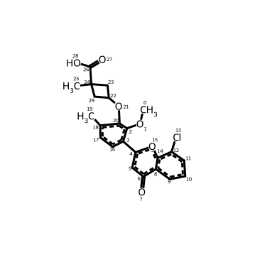 COc1c(-c2cc(=O)c3cccc(Cl)c3o2)ccc(C)c1OC1CC(C)(C(=O)O)C1